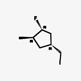 C[C@@H]1C[C@@H](CI)C[C@H]1F